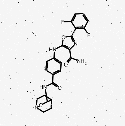 NC(=O)c1nc(-c2c(F)cccc2F)oc1Nc1ccc(C(=O)NC2CN3CCC2CC3)cc1